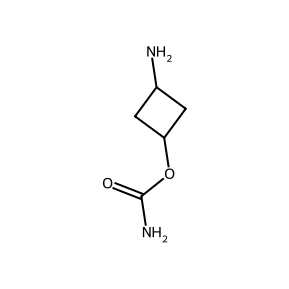 NC(=O)OC1CC(N)C1